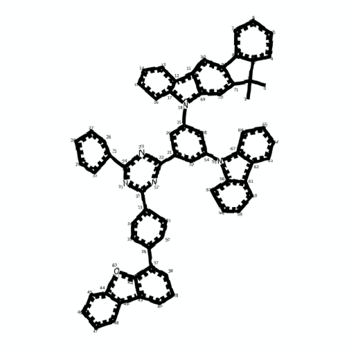 CC1(C)c2ccccc2-c2cc3c4ccccc4n(-c4cc(-c5nc(-c6ccccc6)nc(-c6ccc(-c7cccc8c7oc7ccccc78)cc6)n5)cc(-n5c6ccccc6c6ccccc65)c4)c3cc21